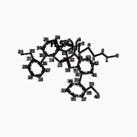 CCCCC[CH2][Hf]([CH3])([CH3])([CH3])(=[SiH2])([CH]1C=Cc2c(-c3ccccc3CC)cccc21)[CH]1C=Cc2c(-c3ccccc3CC)cccc21